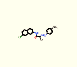 CC(=O)C(N=Nc1ccc([N+](=O)[O-])cc1)C(=O)Nc1ccc2ccc(Cl)cc2c1